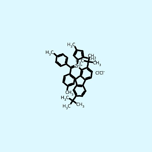 CC1=C[CH]([Zr+2](=[C](c2ccc(C)cc2)c2ccc(C)cc2)[c]2c(C(C)(C)C)ccc3c2Cc2cc(C(C)(C)C)ccc2-3)C(C)=C1.[Cl-].[Cl-]